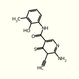 C#CC1C(=S)C(C(=O)Nc2cccc(C)c2O)=CN=C1N